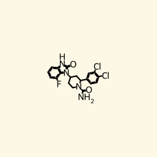 NC(=O)N1CCC(n2c(=O)[nH]c3cccc(F)c32)CC1c1ccc(Cl)c(Cl)c1